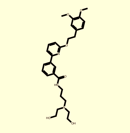 COc1ccc(CCOc2cccc(-c3cccc(C(=O)NCCCN(CCO)CCO)c3)n2)cc1OC